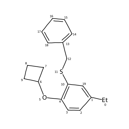 CCc1ccc(OC2CCC2)c(SCc2ccccc2)c1